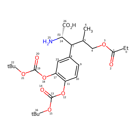 CCC(=O)OCC(C)C(c1ccc(OC(=O)OC(C)(C)C)c(OC(=O)OC(C)(C)C)c1)[C@H](N)C(=O)O